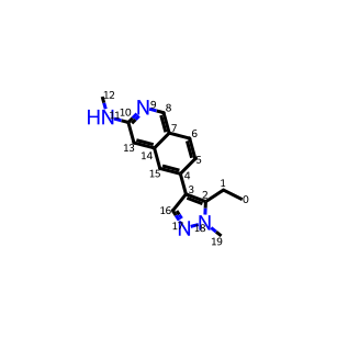 CCc1c(-c2ccc3cnc(NC)cc3c2)cnn1C